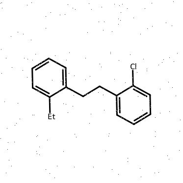 CCc1ccccc1CCc1ccccc1Cl